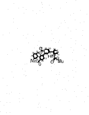 COC(=O)c1ccc(C2=CC(c3cscc3NC(=O)OC(C)(C)C)=CCN2C(=O)OCc2ccccc2)cc1